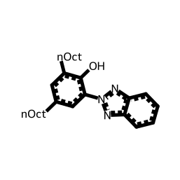 CCCCCCCCc1cc(CCCCCCCC)c(O)c(-n2nc3ccccc3n2)c1